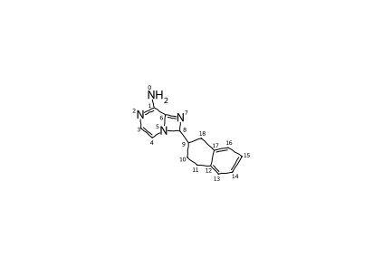 NC1=NC=CN2C1=NC2C1CCc2ccccc2C1